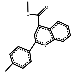 COC(=O)c1cc(-c2ccc(C)cc2)nc2ccccc12